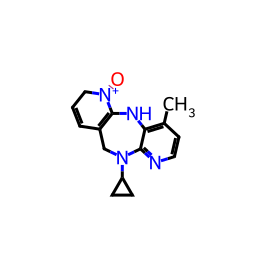 Cc1ccnc2c1NC1=C(C=CC[N+]1=O)CN2C1CC1